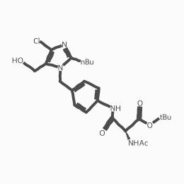 CCCCc1nc(Cl)c(CO)n1Cc1ccc(NC(=O)[C@H](NC(C)=O)C(=O)OC(C)(C)C)cc1